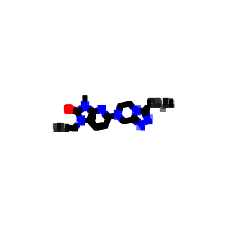 CCOC(=O)c1nnc2n1CCN(c1ccc3c(n1)n(C)c(=O)n3CC(C)(C)C)C2